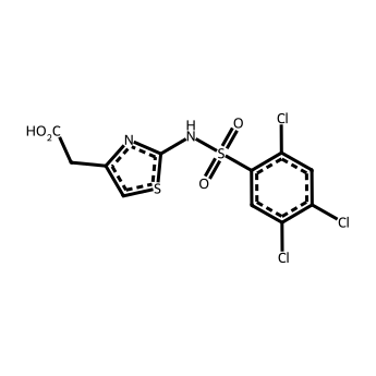 O=C(O)Cc1csc(NS(=O)(=O)c2cc(Cl)c(Cl)cc2Cl)n1